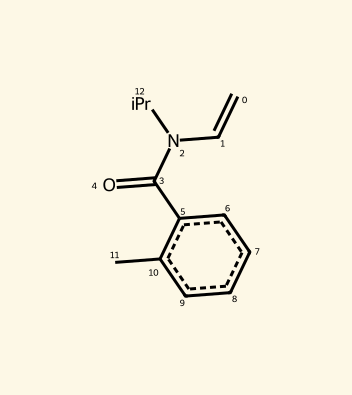 C=CN(C(=O)c1ccccc1C)C(C)C